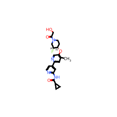 Cc1cc(-c2ccnc(NC(=O)C3CC3)c2)ncc1O[C@H]1CCN(C(=O)CO)C[C@H]1F